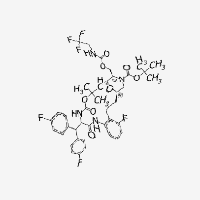 CC(C)(C)OC(=O)NC(C(=O)Nc1cccc(F)c1CC[C@@H]1CN(C(=O)OC(C)(C)C)[C@H](COC(=O)NCC(F)(F)F)CO1)C(c1ccc(F)cc1)c1ccc(F)cc1